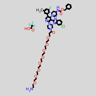 Cc1cc(F)cc(-c2cnc(N3CCN(C(=O)CCOCCOCCOCCOCCOCCOCCOCCOCCN)CC3)c(-c3nc4cc(Cl)ccc4[nH]3)c2N2CCC(NC(=O)OCc3ccccc3)CC2)c1.O=C(O)C(F)(F)F